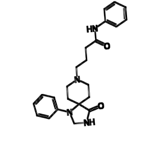 O=C(CCCN1CCC2(CC1)C(=O)NCN2c1ccccc1)Nc1ccccc1